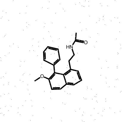 COc1ccc2cccc(CCNC(C)=O)c2c1-c1ccccc1